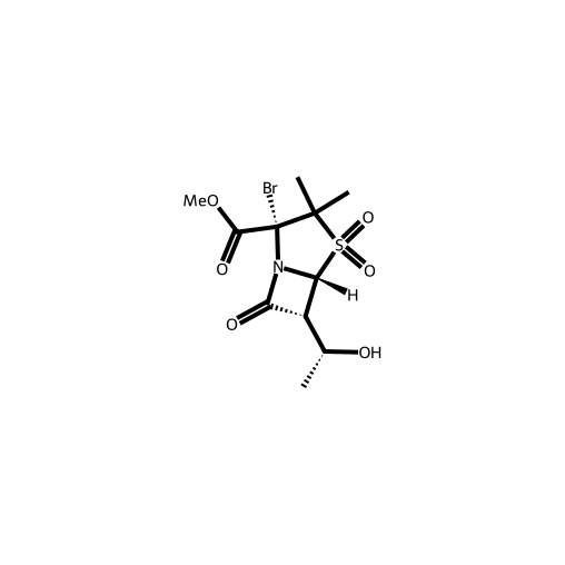 COC(=O)[C@]1(Br)N2C(=O)[C@@H]([C@@H](C)O)[C@H]2S(=O)(=O)C1(C)C